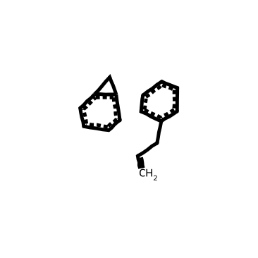 C=CCc1ccccc1.c1ccc2c(c1)C2